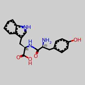 N[C@@H](Cc1ccc(O)cc1)C(=O)N[C@H](Cc1c[nH]c2ccccc12)C(=O)O